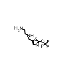 NCCNCc1cnc(OC(F)(F)F)s1